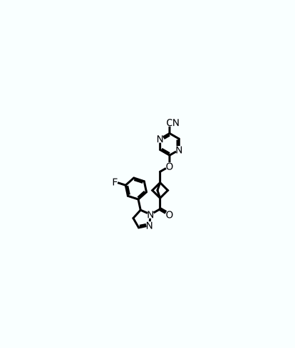 N#Cc1cnc(OCC23CC(C(=O)N4N=CCC4c4cccc(F)c4)(C2)C3)cn1